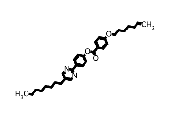 C=CCCCCCOc1ccc(C(=O)Oc2ccc(-c3ncc(CCCCCCCC)cn3)cc2)cc1